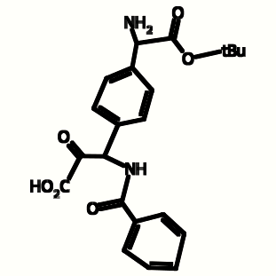 CC(C)(C)OC(=O)C(N)c1ccc(C(NC(=O)c2ccccc2)C(=O)C(=O)O)cc1